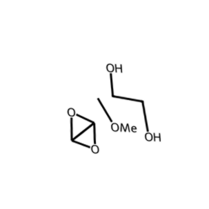 COC.O1C2OC12.OCCO